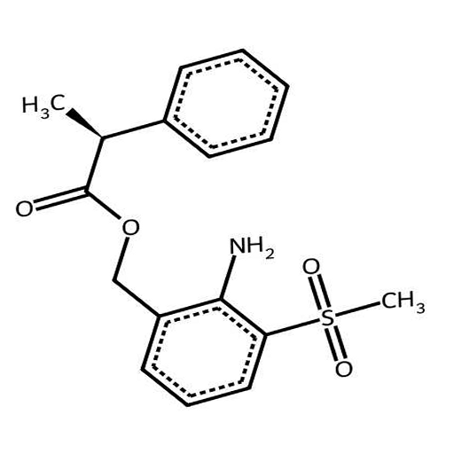 C[C@H](C(=O)OCc1cccc(S(C)(=O)=O)c1N)c1ccccc1